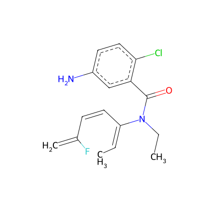 C=C(F)/C=C\C(=C/C)N(CC)C(=O)c1cc(N)ccc1Cl